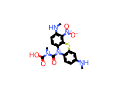 CNc1ccc2c(c1)Sc1c(ccc(NC)c1[N+](=O)[O-])N2C(=O)N(C)C(=O)O